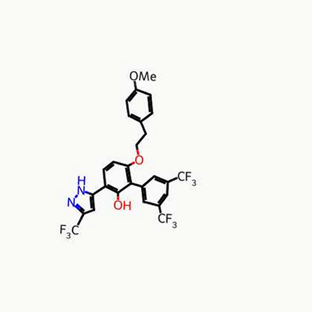 COc1ccc(CCOc2ccc(-c3cc(C(F)(F)F)n[nH]3)c(O)c2-c2cc(C(F)(F)F)cc(C(F)(F)F)c2)cc1